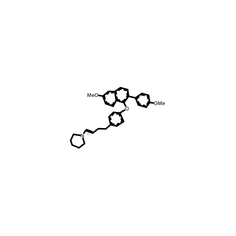 COc1ccc(-c2ccc3cc(OC)ccc3c2Oc2ccc(CC/C=C/N3CCCCC3)cc2)cc1